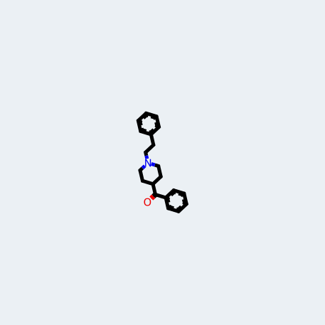 O=C(c1ccccc1)C1CCN(CCc2ccccc2)CC1